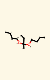 [CH2]C(CC)(OCCCC)OCCCC